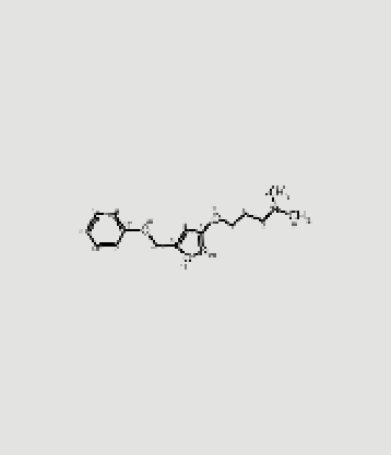 CN(C)CCCOc1cc(COc2ccccc2)on1